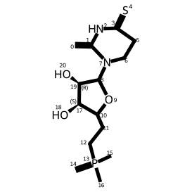 C=C1NC(=S)CCN1C1OC(CCP(=C)(C)C)[C@@H](O)[C@H]1O